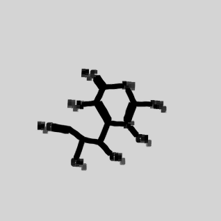 C=CC(C)C(C)C1=C(N)C(=C)NC(N)=[N+]1C